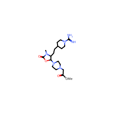 COC(=O)CN1CCN(C2OC(=O)N(C)C2CCC2CCN(C(=N)N)CC2)CC1